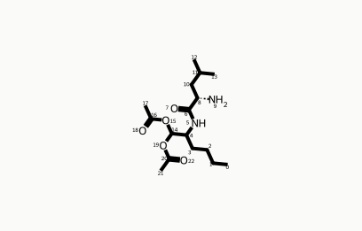 CCCCC(NC(=O)[C@@H](N)CC(C)C)C(OC(C)=O)OC(C)=O